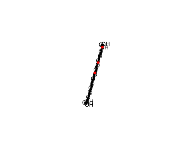 O=C(O)NCCOCCOCCOCCOCCOCCOCCOCCOCCOCCOCCOCCNC(=O)O